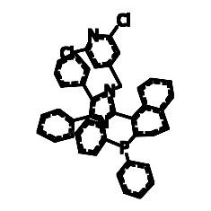 Clc1cc(Cn2c(-c3c(P(c4ccccc4)c4ccccc4)ccc4ccccc34)nc(-c3ccccc3)c2-c2ccccc2)cc(Cl)n1